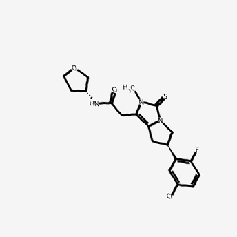 Cn1c(CC(=O)N[C@@H]2CCOC2)c2n(c1=S)C[C@@H](c1cc(Cl)ccc1F)C2